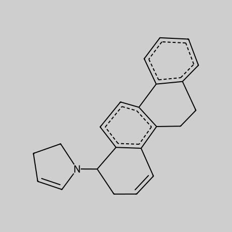 C1=CN(C2CC=Cc3c2ccc2c3CCc3ccccc3-2)CC1